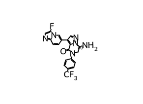 N[C@H]1CN(c2ccc(C(F)(F)F)cc2)C(=O)c2c(-c3ccc4ncc(F)n4c3)cnn21